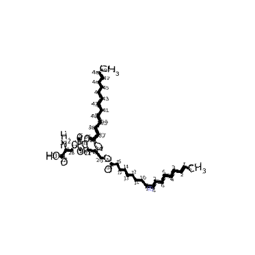 CCCCCCCC/C=C\CCCCCCCC(=O)OCC(COP(=O)(O)OCC(N)C(=O)O)OC(=O)CCCCCCCCCCCCC